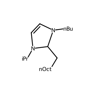 CCCCCCCCCC1N(CCCC)C=CN1C(C)C